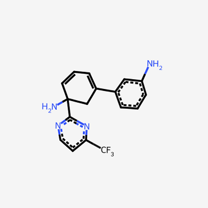 Nc1cccc(C2=CC=CC(N)(c3nccc(C(F)(F)F)n3)C2)c1